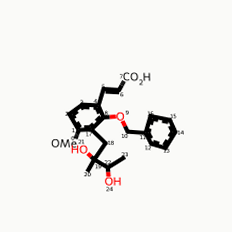 COc1ccc(C=CC(=O)O)c(OCc2ccccc2)c1CC(C)(O)C(C)O